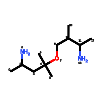 CC(N)CC(C)(C)OCC(C)C(C)N